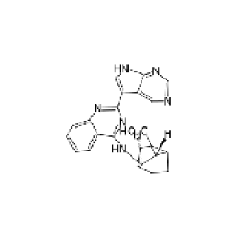 O=C(O)[C@@H]1C2CCC(CC2)[C@H]1Nc1nc(-c2c[nH]c3ncncc23)nc2ccccc12